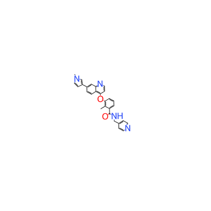 Cc1c(Oc2ccnc3cc(-c4ccn(C)c4)ccc23)cccc1C(=O)NCc1ccncc1